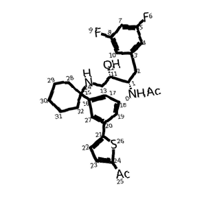 CC(=O)N[C@@H](Cc1cc(F)cc(F)c1)[C@@H](O)CNC1(c2cccc(-c3ccc(C(C)=O)s3)c2)CCCCC1